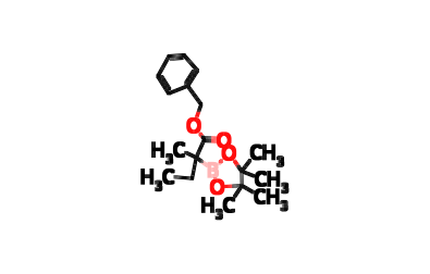 CCC(C)(B1OC(C)(C)C(C)(C)O1)C(=O)OCc1ccccc1